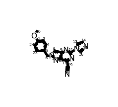 COc1ccc(Cn2cc3nc(-n4ccnc4)nc(C#N)c3n2)cc1